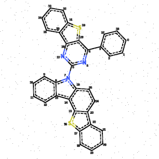 c1ccc(-c2nc(-n3c4ccccc4c4c5sc6ccccc6c5ccc43)nc3c2sc2ccccc23)cc1